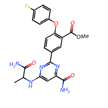 COC(=O)c1cc(-c2nc(NC(C)C(N)=O)cc(C(N)=O)n2)ccc1Oc1ccc(F)cc1